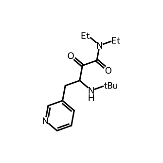 CCN(CC)C(=O)C(=O)C(Cc1cccnc1)NC(C)(C)C